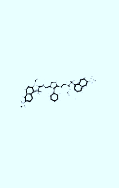 CCN1/C(=C/C=C2\CCC(/C=C/C3=[N+](CC)c4ccc5cc(S(=O)(=O)O)ccc5c4C3(C)C)=C2c2ccccc2)C(C)(C)c2c1ccc1cc(S(=O)(=O)O)ccc21